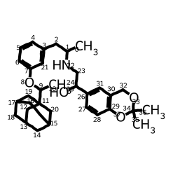 CC(Cc1cccc(OC(C)C23CC4CC(CC(C4)C2)C3)c1)NCC(O)c1ccc2c(c1)COC(C)(C)O2